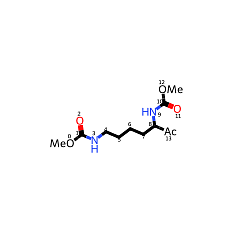 COC(=O)NCCCCC(NC(=O)OC)C(C)=O